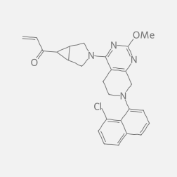 C=CC(=O)C1C2CN(c3nc(OC)nc4c3CCN(c3cccc5cccc(Cl)c35)C4)CC21